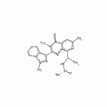 Cc1cc(C(C)N[S@+]([O-])C(C)(C)C)c2nc(-c3nn(C)c4ccccc34)n(C)c(=O)c2c1